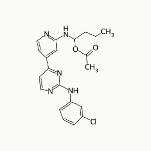 CCCC(Nc1cc(-c2ccnc(Nc3cccc(Cl)c3)n2)ccn1)OC(C)=O